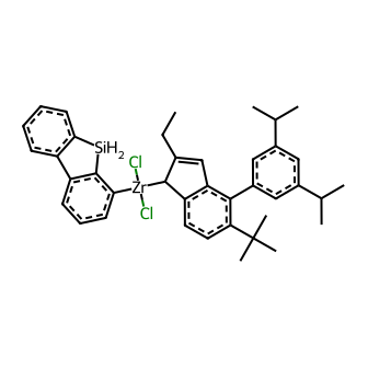 CCC1=Cc2c(ccc(C(C)(C)C)c2-c2cc(C(C)C)cc(C(C)C)c2)[CH]1[Zr]([Cl])([Cl])[c]1cccc2c1[SiH2]c1ccccc1-2